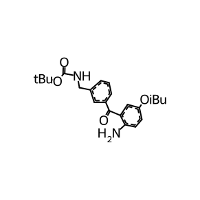 CC(C)COc1ccc(N)c(C(=O)c2cccc(CNC(=O)OC(C)(C)C)c2)c1